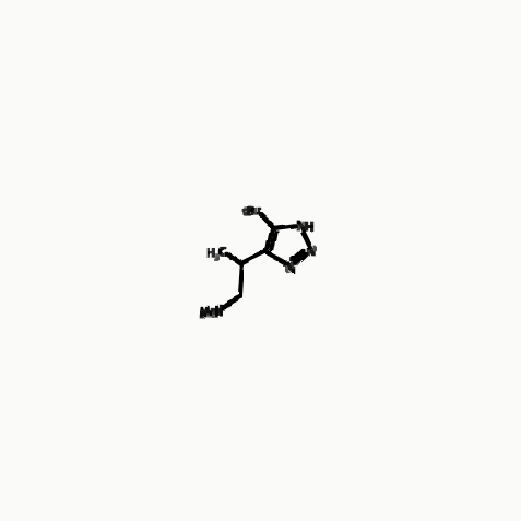 CNCC(C)c1nn[nH]c1C(C)(C)C